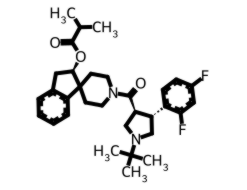 CC(C)C(=O)O[C@@H]1Cc2ccccc2C12CCN(C(=O)[C@@H]1CN(C(C)(C)C)C[C@H]1c1ccc(F)cc1F)CC2